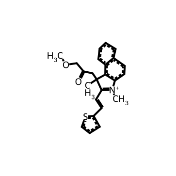 COCC(=O)CC1(C)C(/C=C/c2cccs2)=[N+](C)c2ccc3ccccc3c21